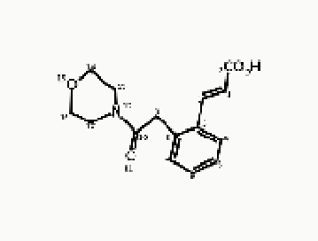 O=C(O)C=Cc1ccccc1CC(=O)N1CCOCC1